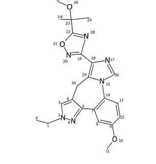 CCn1cc2c(n1)-c1cc(OC)ccc1-n1cnc(-c3noc(C(C)(C)OC)n3)c1C2